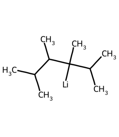 [Li][C](C)(C(C)C)C(C)C(C)C